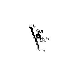 CCCCCCCCCCCCCCP.CN(C)c1cccc(C(=O)O)c1